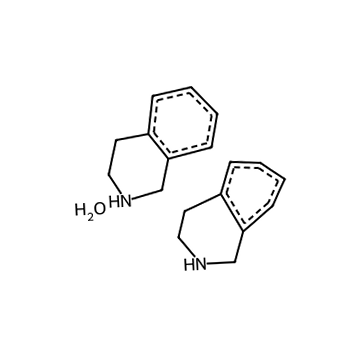 O.c1ccc2c(c1)CCNC2.c1ccc2c(c1)CCNC2